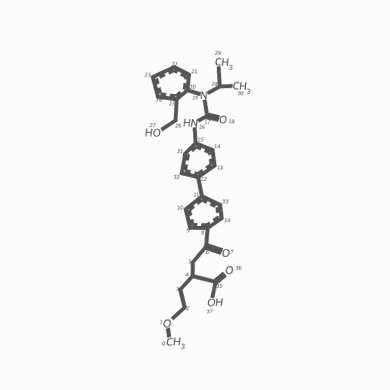 COCCC(CC(=O)c1ccc(-c2ccc(NC(=O)N(c3ccccc3CO)C(C)C)cc2)cc1)C(=O)O